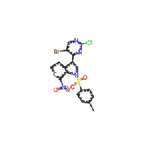 Cc1ccc(S(=O)(=O)n2cc(-c3nc(Cl)ncc3Br)c3cccc([N+](=O)[O-])c32)cc1